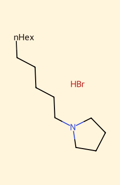 Br.CCCCCCCCCCCN1CCCC1